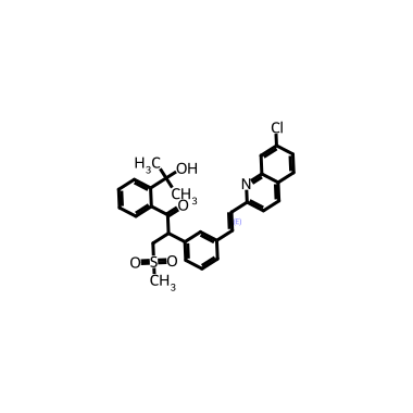 CC(C)(O)c1ccccc1C(=O)C(CS(C)(=O)=O)c1cccc(/C=C/c2ccc3ccc(Cl)cc3n2)c1